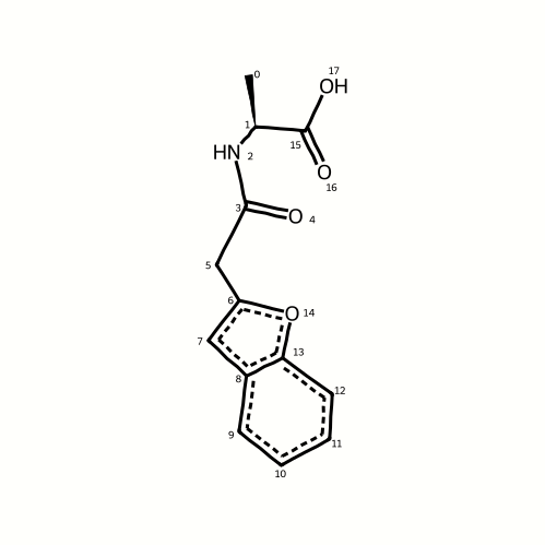 C[C@H](NC(=O)Cc1cc2ccccc2o1)C(=O)O